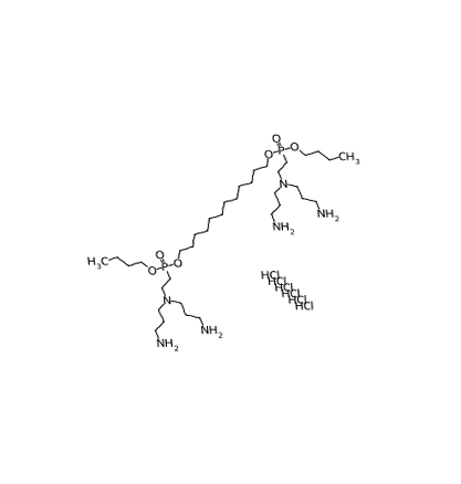 CCCCOP(=O)(CCN(CCCN)CCCN)OCCCCCCCCCCCCOP(=O)(CCN(CCCN)CCCN)OCCCC.Cl.Cl.Cl.Cl.Cl.Cl